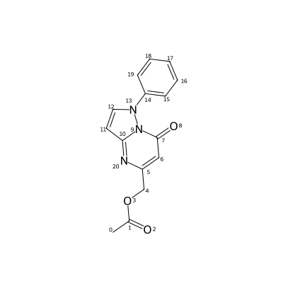 CC(=O)OCc1cc(=O)n2c(ccn2-c2ccccc2)n1